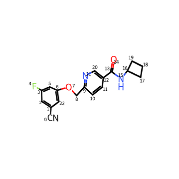 N#Cc1cc(F)cc(OCc2ccc(C(=O)NC3CCC3)cn2)c1